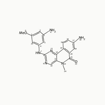 COc1cc(N)cc(Nc2ncc3c(n2)c2ccc(N)cc2c(=O)n3C)c1